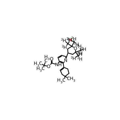 [2H]C([2H])([2H])C1(C([2H])([2H])[2H])CC(c2ccc(NC(=O)OC(C)(C)C)c(C3=CCC(C)(C)CC3)n2)CC(C([2H])([2H])[2H])(C([2H])([2H])[2H])O1